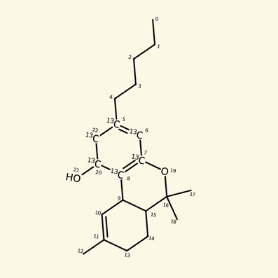 CCCCC[13C]1=[13CH][13C]2=[13C](C3C=C(C)CCC3C(C)(C)O2)[13CH](O)[13CH2]1